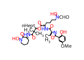 CCCCCCC[C@H](OC(=O)[C@@H](CCCCN(O)C=O)NC(=O)c1nc(-c2cc(OC)ccc2O)oc1C)C(C)(C)C(=O)N[C@H]1CCCCN(O)C1=O